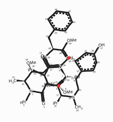 CCCN(C(=O)C[C@@H](OC)[C@H]([C@@H](C)CC)N(C)C(=O)C(NC(=O)[C@H](C(C)C)N(C)CCc1ccc(O)cc1)C(C)C)[C@@H](C)[C@H](OC)[C@@H](C)C(=O)N[C@@H](Cc1ccccc1)C(=O)OC